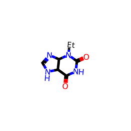 CCN1C(=O)NC(=O)C2NC=NC21